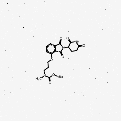 CN(CCCSc1cccc2c1C(=O)N(C1CCC(=O)NC1=O)C2=O)C(=O)OC(C)(C)C